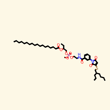 CCCCCCCCCCCCCCCCCC(=O)OC(CC)COP(=O)(OC)OCCNC(=O)c1cccc(N2C(=O)C=C(SCC(CCC)CCCC)C2=O)c1